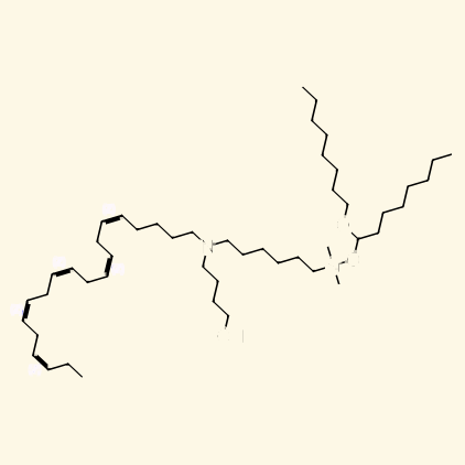 CC/C=C\C/C=C\C/C=C\C/C=C\C/C=C\CCCCN(CCCCO)CCCCCC[Si](C)(C)OC(CCCCCCC)OCCCCCCCC